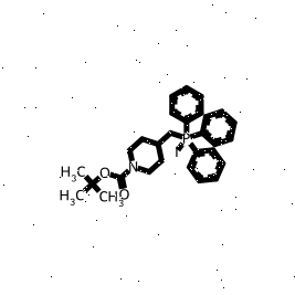 CC(C)(C)OC(=O)N1CCC(CP(I)(c2ccccc2)(c2ccccc2)c2ccccc2)CC1